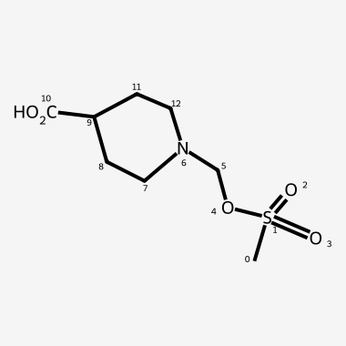 CS(=O)(=O)OCN1CCC(C(=O)O)CC1